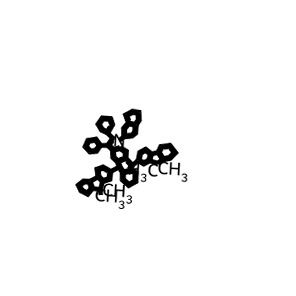 CC1(C)c2ccccc2-c2ccc(-c3c4ccccc4c(-c4ccc5c(c4)C(C)(C)c4ccccc4-5)c4cc5c(cc34)c(-c3ccccc3)c(-c3ccccc3)n5-c3ccc4ccccc4c3)cc21